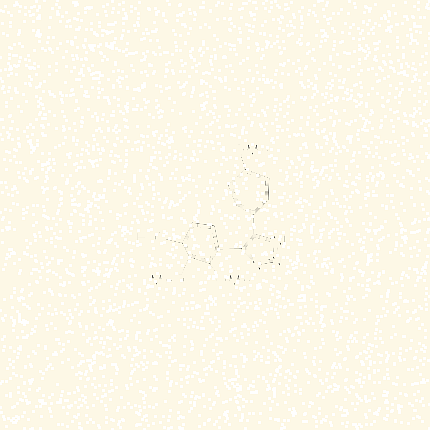 COc1ccc(-c2[nH]nnc2-c2ccc(C)c(OC)c2OC)cc1